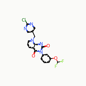 O=c1nc2n(Cc3cnc(Cl)nc3)cccc-2c(=O)n1-c1cccc(OC(F)F)c1